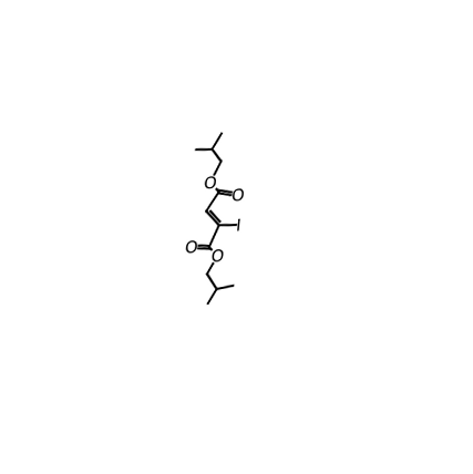 CC(C)COC(=O)C=C(I)C(=O)OCC(C)C